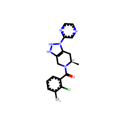 C[C@@H]1CC2=C(CN1C(=O)c1cccc(C(F)(F)F)c1Cl)NNN2c1cnccn1